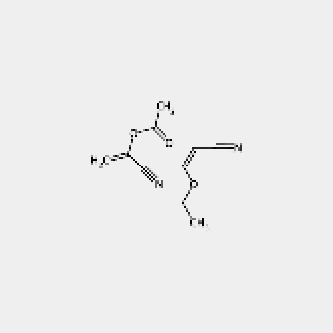 C=C(C#N)OC(C)=O.CCO/C=C\C#N